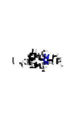 C=C(C)c1cccc([SiH2]CC(N(C)C)N(C)C)c1